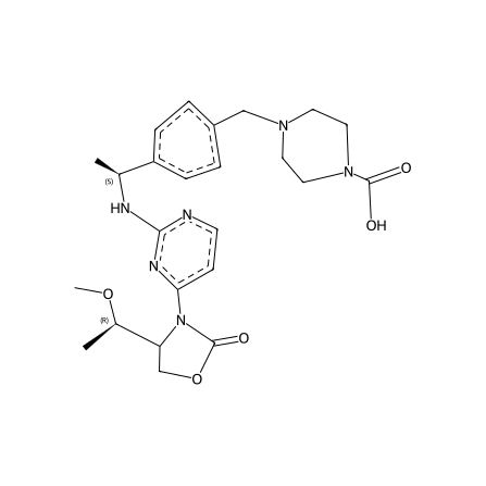 CO[C@H](C)C1COC(=O)N1c1ccnc(N[C@@H](C)c2ccc(CN3CCN(C(=O)O)CC3)cc2)n1